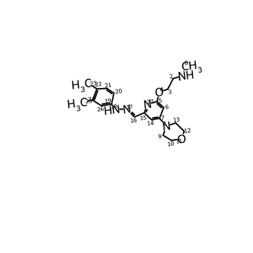 CNCCOc1cc(N2CCOCC2)cc(C=NNc2ccc(C)c(C)c2)n1